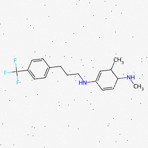 CNC1C=CC(NCCCc2ccc(C(F)(F)F)cc2)=CC1C